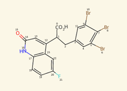 O=C(O)C(Cc1cc(Br)c(Br)c(Br)c1)c1cc(=O)[nH]c2ccc(F)cc12